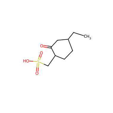 CCC1CCC(CS(=O)(=O)O)C(=O)C1